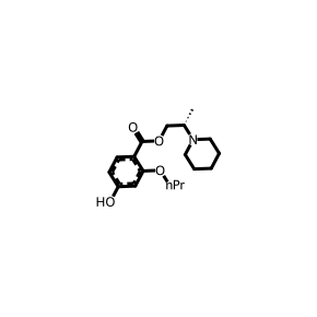 CCCOc1cc(O)ccc1C(=O)OC[C@H](C)N1CCCCC1